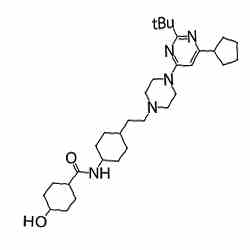 CC(C)(C)c1nc(C2CCCC2)cc(N2CCN(CCC3CCC(NC(=O)C4CCC(O)CC4)CC3)CC2)n1